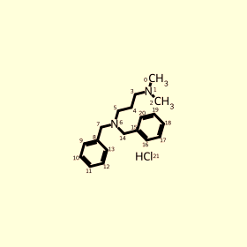 CN(C)CCCN(Cc1ccccc1)Cc1ccccc1.Cl